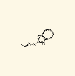 C/C=N/Sc1nc2ccccc2s1